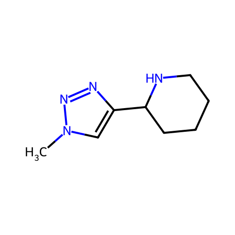 Cn1cc(C2CCCCN2)nn1